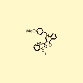 COc1ccc(Cn2cc(C(=O)Nc3ccccc3C)c(=O)c3ccccc32)cc1